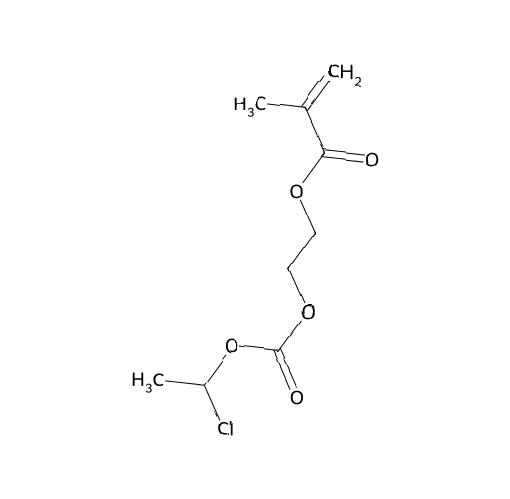 C=C(C)C(=O)OCCOC(=O)OC(C)Cl